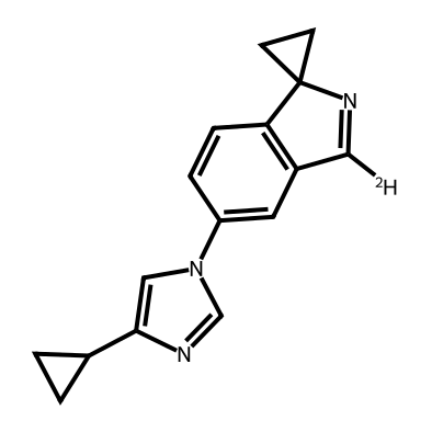 [2H]C1=NC2(CC2)c2ccc(-n3cnc(C4CC4)c3)cc21